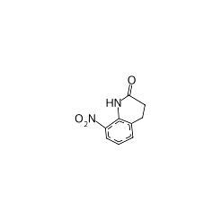 O=C1CCc2cccc([N+](=O)[O-])c2N1